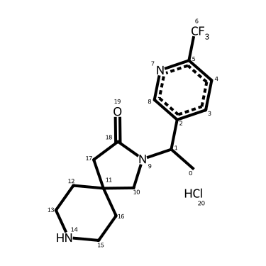 CC(c1ccc(C(F)(F)F)nc1)N1CC2(CCNCC2)CC1=O.Cl